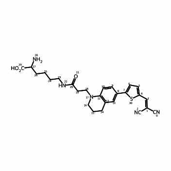 N#CC(C#N)=Cc1ccc(-c2ccc3c(c2)CCCN3CCC(=O)NCCCCC(N)C(=O)O)s1